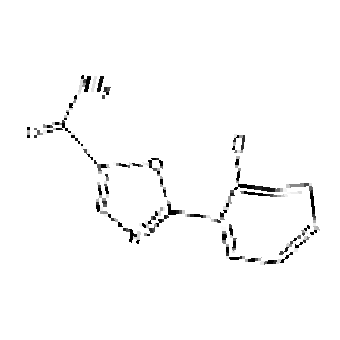 NC(=O)c1cnc(-c2ccccc2Cl)o1